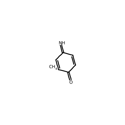 C.N=C1C=CC(=O)C=C1